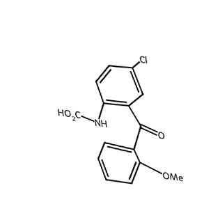 COc1ccccc1C(=O)c1cc(Cl)ccc1NC(=O)O